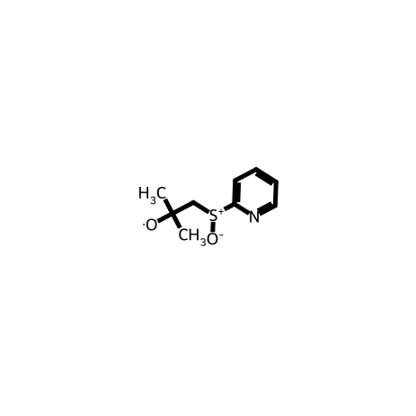 CC(C)([O])C[S+]([O-])c1ccccn1